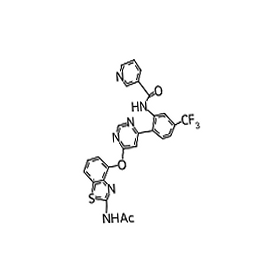 CC(=O)Nc1nc2c(Oc3cc(-c4ccc(C(F)(F)F)cc4NC(=O)c4cccnc4)ncn3)cccc2s1